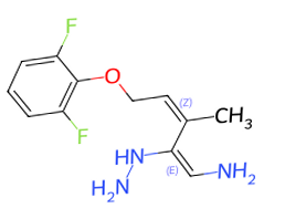 CC(=C/COc1c(F)cccc1F)/C(=C\N)NN